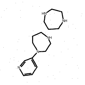 C1CNCCNC1.c1cncc(N2CCCNCC2)c1